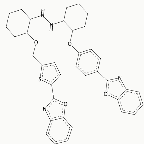 c1ccc2oc(-c3ccc(OC4CCCCC4NNC4CCCCC4OCc4ccc(-c5nc6ccccc6o5)s4)cc3)nc2c1